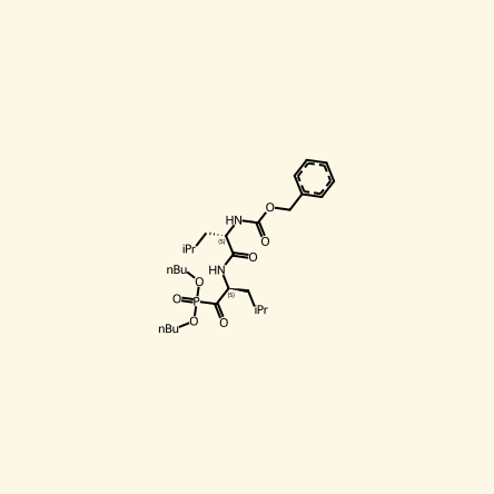 CCCCOP(=O)(OCCCC)C(=O)[C@H](CC(C)C)NC(=O)[C@H](CC(C)C)NC(=O)OCc1ccccc1